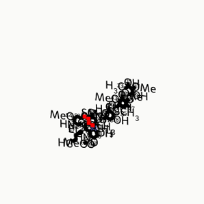 C#CCCC#C[C@H](OC1OC(C)C(NOC2CC(O)C(SC(=O)c3c(C)c(I)c(OC4OC(C)C(O)C(OC)C4O)c(OC)c3OC)C(C)O2)C(O)C1OC1CC(OC)C(NCC)CO1)C1=C(NC(=O)OC)C(=O)C[C@](C)(O)/C1=C/CSSSC